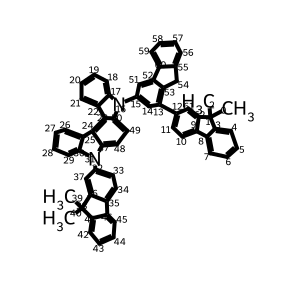 CC1(C)c2ccccc2-c2ccc(-c3cc(-n4c5ccccc5c5c6c7ccccc7n(-c7ccc8c(c7)C(C)(C)c7ccccc7-8)c6ccc54)cc4c3Cc3ccccc3-4)cc21